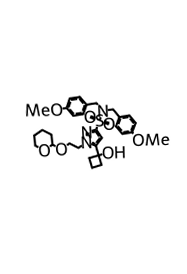 COc1ccc(CN(Cc2ccc(OC)cc2)S(=O)(=O)c2cc(C3(O)CCC3)n(CCOC3CCCCO3)n2)cc1